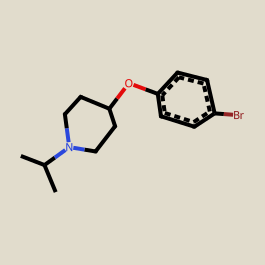 CC(C)N1CCC(Oc2ccc(Br)cc2)CC1